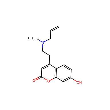 C=CCN(CCc1cc(=O)oc2cc(O)ccc12)C(=O)O